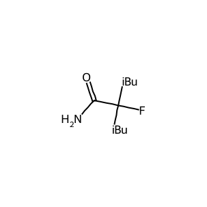 CCC(C)C(F)(C(N)=O)C(C)CC